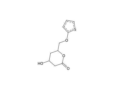 O=C1CC(O)CC(COc2cccs2)O1